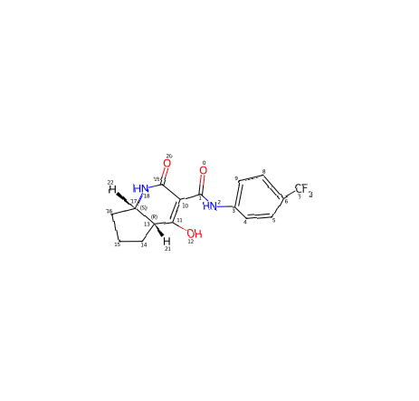 O=C(Nc1ccc(C(F)(F)F)cc1)C1=C(O)[C@@H]2CCC[C@@H]2NC1=O